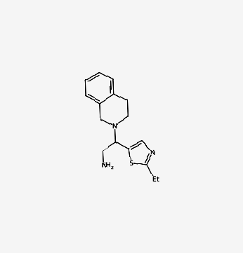 CCc1ncc(C(CN)N2CCc3ccccc3C2)s1